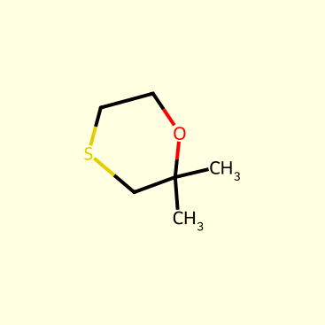 CC1(C)CSCCO1